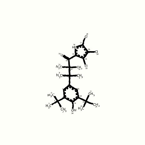 CC(C)(C)c1cc(C(C)(C)C(C)(C)C(=O)c2[nH]c(Cl)c(Cl)c2Cl)cc(C(C)(C)C)c1O